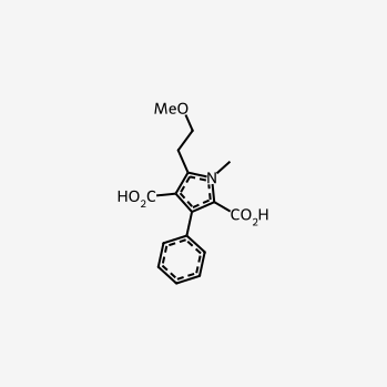 COCCc1c(C(=O)O)c(-c2ccccc2)c(C(=O)O)n1C